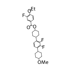 CCOc1ccc(C(=O)OC2CCC(c3ccc(C4CCC(OC)CC4)c(F)c3F)CC2)cc1F